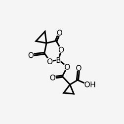 O=C(O)C1(C(=O)OB2OC(=O)C3(CC3)C(=O)O2)CC1